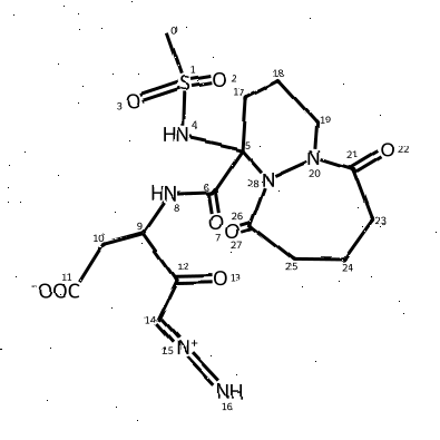 CS(=O)(=O)NC1(C(=O)NC(CC(=O)[O-])C(=O)C=[N+]=N)CCCN2C(=O)CCCC(=O)N21